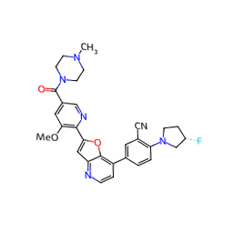 COc1cc(C(=O)N2CCN(C)CC2)cnc1-c1cc2nccc(-c3ccc(N4CC[C@H](F)C4)c(C#N)c3)c2o1